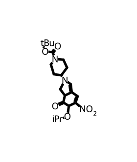 CC(C)OC1C(=O)C2CN(C3CCN(C(=O)OC(C)(C)C)CC3)C=C2C=C1[N+](=O)[O-]